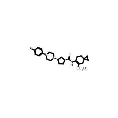 CCOC(=O)C1=C(NC(=O)[C@H]2CC[C@@H](N3CCN(c4ccc(F)cc4)CC3)C2)CCC2(CC2)C1